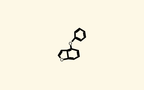 [c]1coc2cccc(Oc3ccccc3)c12